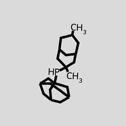 CC1CC2CC(C1)CC(C)(PC13CC4CC(CC(C4)C1)C3)C2